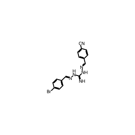 N#Cc1ccc(C=NNC(=N)NN=Cc2ccc(Br)cc2)cc1